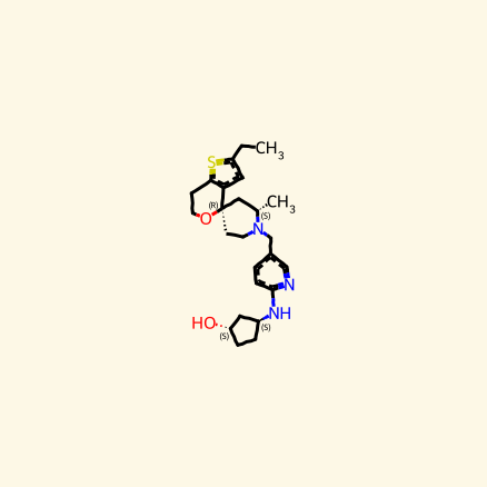 CCc1cc2c(s1)CCO[C@@]21CCN(Cc2ccc(N[C@H]3CC[C@H](O)C3)nc2)[C@@H](C)C1